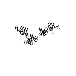 CCCCc1nc2c(N)nc3ccccc3c2n1CC(C)(C)CNC(=O)CCOCCCNC(=O)CCC(NC(=O)c1ccc(NCc2cnc3nc(N)[nH]c(=O)c3n2)cc1)C(=O)O